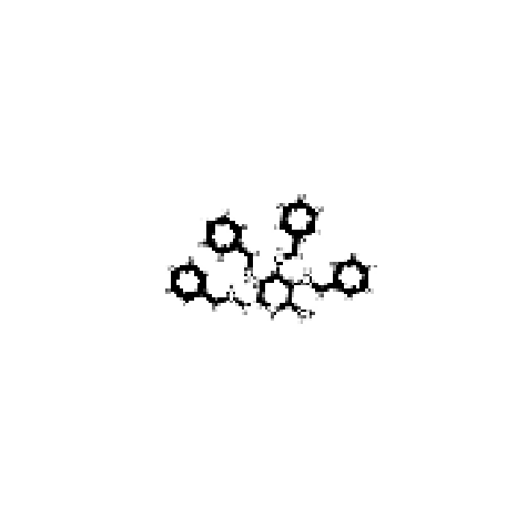 OC1O[C@H](COCc2ccccc2)[C@H](OCc2ccccc2)[C@H](OCc2ccccc2)[C@H]1OCc1ccccc1